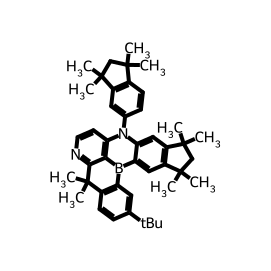 CC(C)(C)c1ccc2c(c1)B1c3cc4c(cc3N(c3ccc5c(c3)C(C)(C)CC5(C)C)c3ccnc(c31)C2(C)C)C(C)(C)CC4(C)C